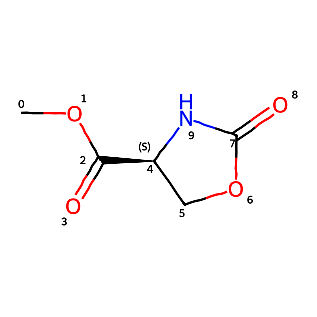 COC(=O)[C@@H]1COC(=O)N1